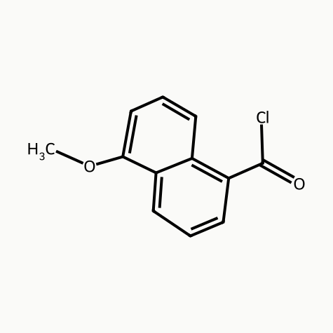 COc1cccc2c(C(=O)Cl)cccc12